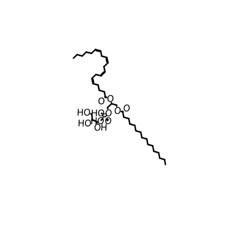 CCCCC/C=C\C/C=C\C/C=C\C/C=C\CCCC(=O)OC(COC(=O)CCCCCCCCCCCCCCC)COP(=O)(O)O.OCC(O)CO